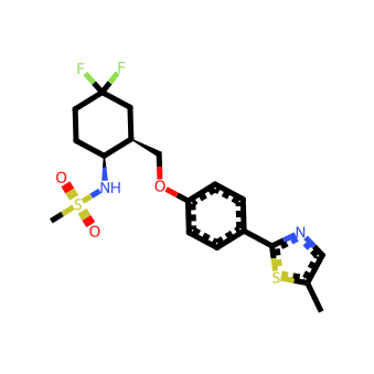 Cc1cnc(-c2ccc(OC[C@@H]3CC(F)(F)CC[C@@H]3NS(C)(=O)=O)cc2)s1